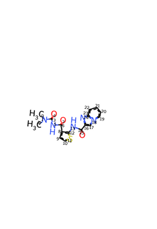 CN(C)C(=O)NC(=O)c1ccsc1NC(=O)c1cn2ccccc2n1